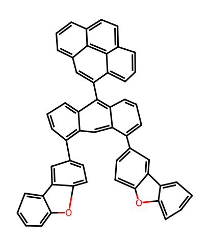 c1cc2ccc3cccc4c(-c5c6cccc(-c7ccc8oc9ccccc9c8c7)c6cc6c(-c7ccc8oc9ccccc9c8c7)cccc56)cc(c1)c2c34